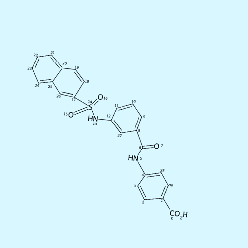 O=C(O)c1ccc(NC(=O)c2cccc(NS(=O)(=O)c3ccc4ccccc4c3)c2)cc1